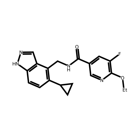 CCOc1ncc(C(=O)NCc2c(C3CC3)ccc3[nH]ncc23)cc1F